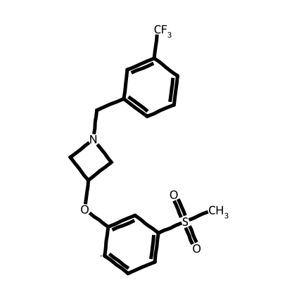 CS(=O)(=O)c1cc[c]c(OC2CN(Cc3cccc(C(F)(F)F)c3)C2)c1